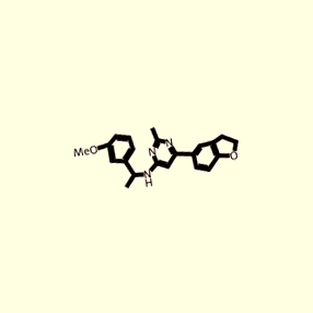 COc1cccc(C(C)Nc2cc(-c3ccc4c(c3)CCO4)nc(C)n2)c1